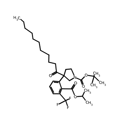 CCCCCCCCCCC(=O)C1(c2cccc(C(F)(F)F)c2C(=O)OC(C)C)CCN(C(=O)OC(C)(C)C)C1